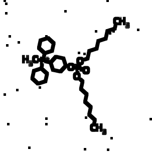 CCCCCCCCOP(=O)([O-])OCCCCCCCC.C[P+](C1CCCCC1)(C1CCCCC1)C1CCCCC1